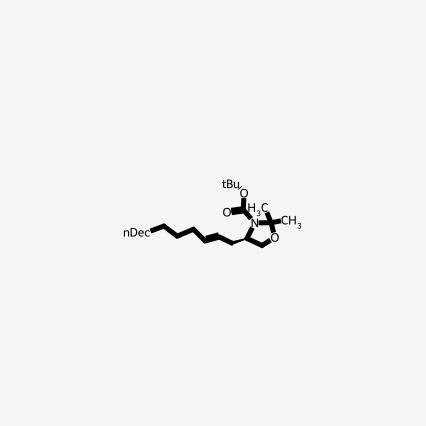 CCCCCCCCCCCCC/C=C/C[C@@H]1COC(C)(C)N1C(=O)OC(C)(C)C